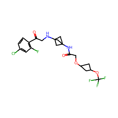 O=C(COC1CC(OC(F)(F)F)C1)NC12CC(NCC(=O)c3ccc(Cl)cc3F)(C1)C2